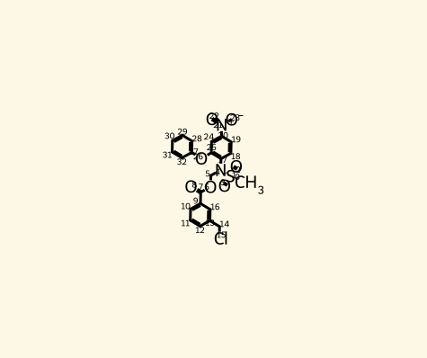 CS(=O)(=O)N(COC(=O)c1cccc(CCl)c1)c1ccc([N+](=O)[O-])cc1Oc1ccccc1